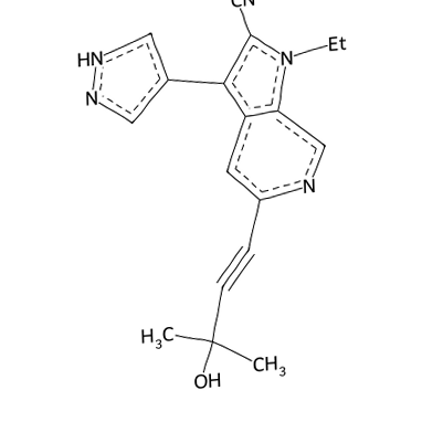 CCn1c(C#N)c(-c2cn[nH]c2)c2cc(C#CC(C)(C)O)ncc21